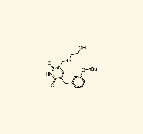 CCCCOc1cccc(Cc2cn(COCCO)c(=O)[nH]c2=O)c1